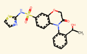 CC(O)c1ccccc1N1C(=O)COc2cc(S(=O)(=O)Nc3nccs3)ccc21